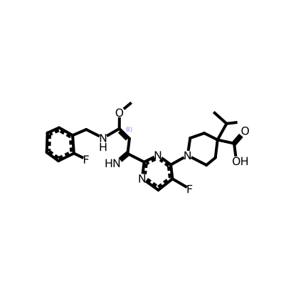 CO/C(=C/C(=N)c1ncc(F)c(N2CCC(C(=O)O)(C(C)C)CC2)n1)NCc1ccccc1F